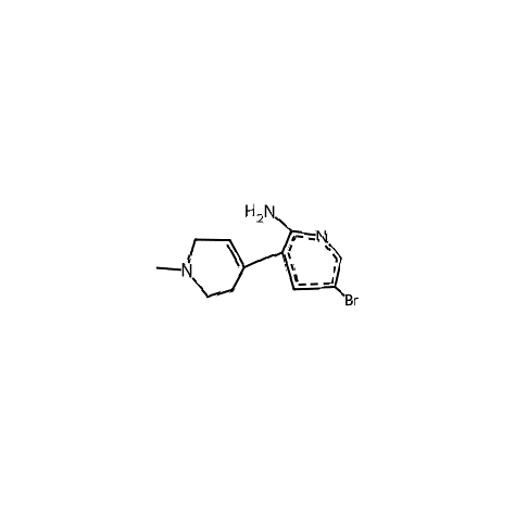 CN1CC=C(c2cc(Br)cnc2N)CC1